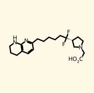 O=C(O)CN1CC[C@@H](C(F)(F)CCCCCc2ccc3c(n2)NCCC3)C1